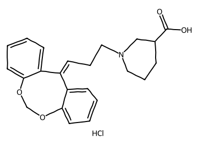 Cl.O=C(O)C1CCCN(CCC=C2c3ccccc3OCOc3ccccc32)C1